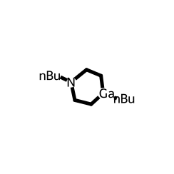 CCCCN1C[CH2][Ga]([CH2]CCC)[CH2]C1